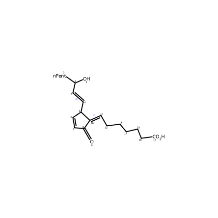 CCCCCC(O)/C=C/C1C=CC(=O)/C1=C\CCCCCC(=O)O